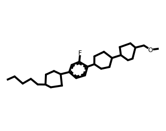 CCCCCC1CCC(c2ccc(C3CCC(C4CCC(COC)CC4)CC3)c(F)c2)CC1